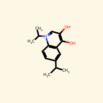 CC(C)c1ccc2c(c1)c(O)c(O)c[n+]2C(C)C